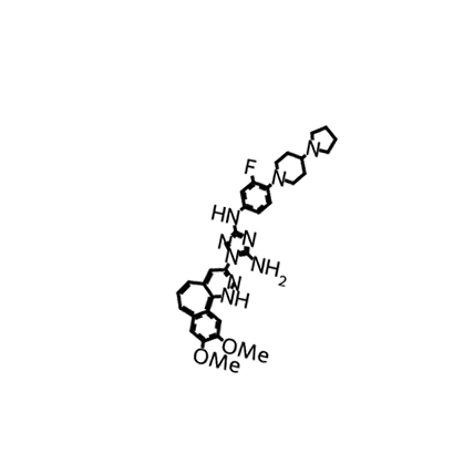 COc1cc2c(cc1OC)=C1NN=C(n3nc(Nc4ccc(N5CCC(N6CCCC6)CC5)c(F)c4)nc3N)C=C1C=CC=2